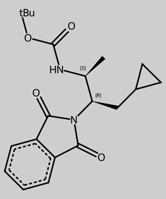 C[C@H](NC(=O)OC(C)(C)C)[C@@H](CC1CC1)N1C(=O)c2ccccc2C1=O